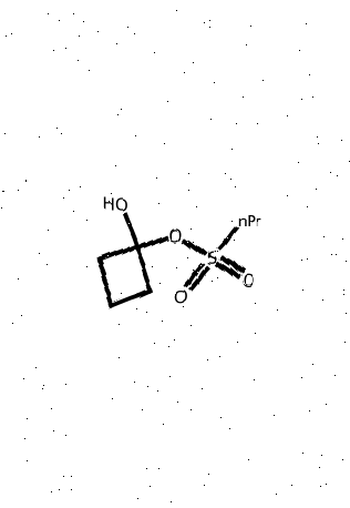 CCCS(=O)(=O)OC1(O)CCC1